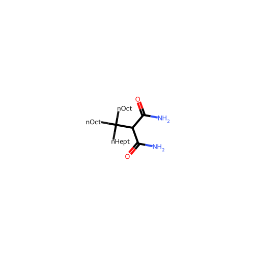 CCCCCCCCC(CCCCCCC)(CCCCCCCC)C(C(N)=O)C(N)=O